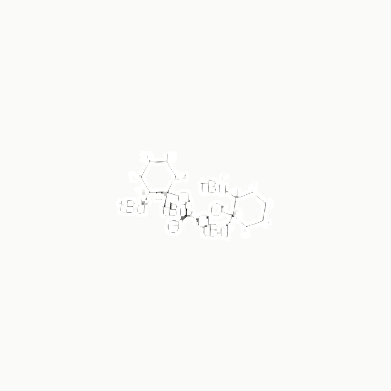 CC(C)(C)C1CCCCC1(OOC(=O)OC1(C(C)(C)C)CCCCC1C(C)(C)C)C(C)(C)C